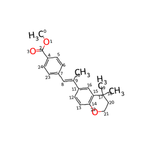 COC(=O)c1ccc(C=C(C)c2ccc3c(c2)C(C)(C)CCO3)cc1